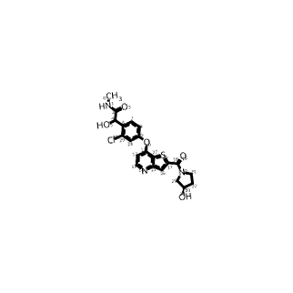 CNC(=O)C(O)c1ccc(Oc2ccnc3cc(C(=O)N4CC[C@@H](O)C4)sc23)cc1Cl